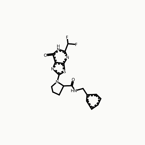 O=C(NCc1ccccc1)C1CCCN1c1nc2c(=O)[nH]c(C(F)F)nc2s1